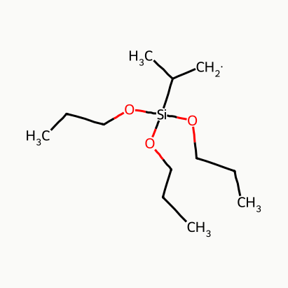 [CH2]C(C)[Si](OCCC)(OCCC)OCCC